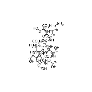 C[C@@H](O)[C@H](NC(=O)[C@H](CO)NC(=O)[C@@H](CO)NC(=O)[C@@H](N)CC(=O)O)C(=O)N[C@@H](CO)C(=O)N[C@H](CO)C(=O)N[C@@H](CCCCN)C(=O)N[C@H](CO)C(=O)O